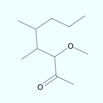 CCCC(C)C(C)C(OC)C(C)=O